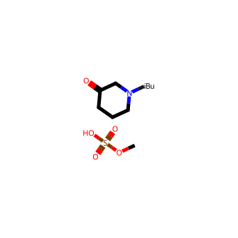 CCC(C)N1CCCC(=O)C1.COS(=O)(=O)O